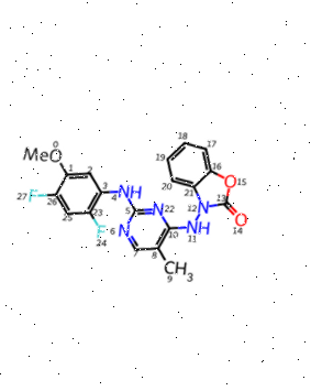 COc1cc(Nc2ncc(C)c(Nn3c(=O)oc4ccccc43)n2)c(F)cc1F